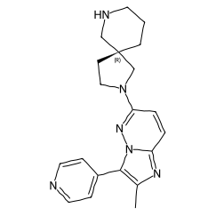 Cc1nc2ccc(N3CC[C@@]4(CCCNC4)C3)nn2c1-c1ccncc1